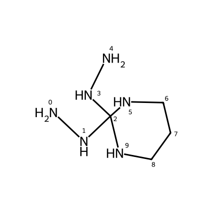 NNC1(NN)NCCCN1